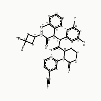 N#Cc1ccnc(N2C(=O)OCCC2C(=O)N(c2cc(F)cc(F)c2)C(C(=O)NC2CC(F)(F)C2)c2ccccc2Cl)c1